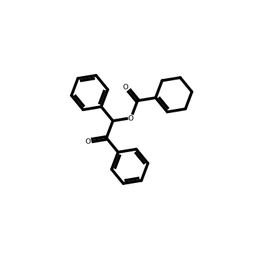 O=C(OC(C(=O)c1ccccc1)c1ccccc1)C1=CCCCC1